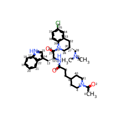 CC(=O)N1CCC(CCC(=O)N[C@H](Cc2c[nH]c3ccccc23)C(=O)N2C[C@@H](CN(C)C)Cc3cc(Cl)ccc32)CC1